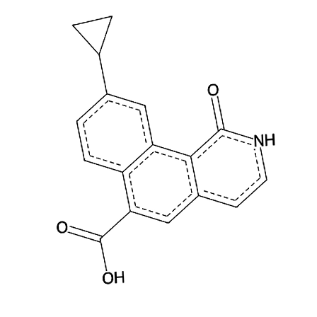 O=C(O)c1cc2cc[nH]c(=O)c2c2cc(C3CC3)ccc12